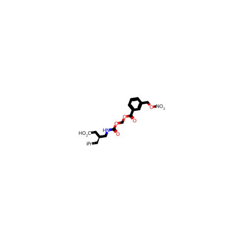 CC(C)C[C@H](CNC(=O)OCOC(=O)c1cccc(CO[N+](=O)[O-])c1)CC(=O)O